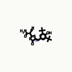 CC(C)(C)c1cc(/C=C2\SC(C(C#N)C(N)=O)=NC2=O)cc(C(C)(C)C)c1O